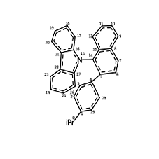 CC(C)c1ccc(-c2ccc3ccccc3c2-n2c3ccccc3c3ccccc32)cc1